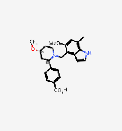 COc1cc(C)c2[nH]ccc2c1CN1CC[C@@H](OC(F)(F)F)C[C@@H]1c1ccc(C(=O)O)cc1